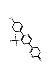 O=C1NN=C(c2ccc(C3=CCC(O)CC3)c(C(F)(F)F)c2)CO1